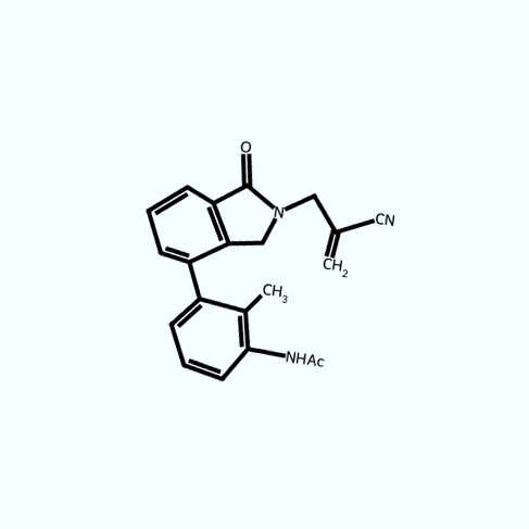 C=C(C#N)CN1Cc2c(cccc2-c2cccc(NC(C)=O)c2C)C1=O